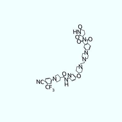 N#Cc1ccc(N2CCC(C(=O)Nc3ccc(OC4CCN(CCN5CCN(c6ccc7c(c6)C(=O)N(C6CCC(=O)NC6=O)C7=O)CC5)CC4)cn3)CC2)cc1C(F)(F)F